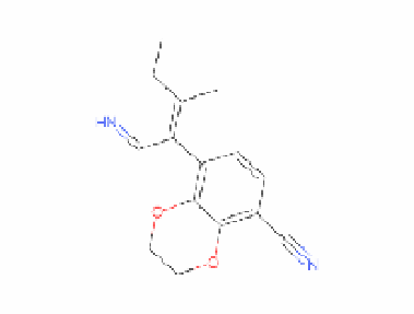 CC/C(C)=C(\C=N)c1ccc(C#N)c2c1OCCO2